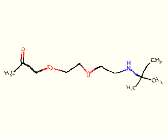 CC(=O)COCCOCCNC(C)(C)C